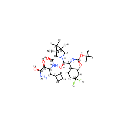 CC(C)(C)OC(=O)N[C@H](C(=O)N1C[C@@H]2[C@H]([C@H]1C(=O)NC(CC1CCC1)C(=O)C(N)=O)C2(C)C)C1CCC(F)(F)CC1